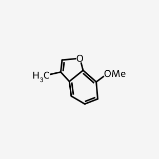 COc1cccc2c(C)coc12